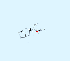 CCN(CC)C1C[C@H]2CC[C@@H](C1)N2C(=O)OC(C)(C)C